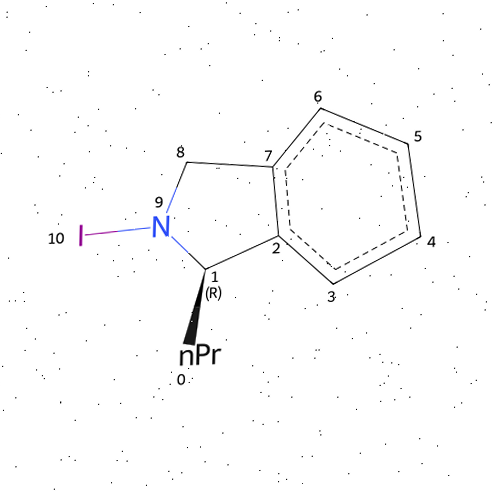 CCC[C@@H]1c2ccccc2CN1I